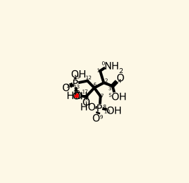 NCC(C(=O)O)C(CP(=O)(O)O)(CP(=O)(O)O)C(=O)O